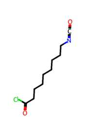 O=C=NCCCCCCCCC(=O)Cl